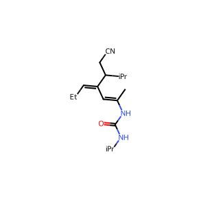 CC/C=C(\C=C(/C)NC(=O)NC(C)C)C(CC#N)C(C)C